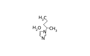 CCCC(C)n1ccnc1.O